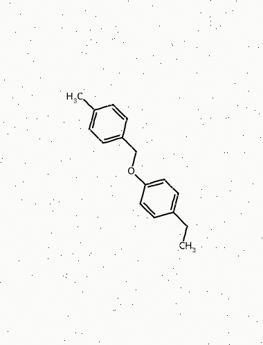 CCc1ccc(OCc2ccc(C)cc2)cc1